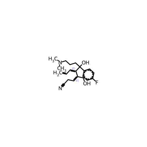 C=C/C=C(\C(=C/CC#N)CO)C(O)(CCCN(C)C)c1ccc(F)cc1